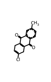 Cc1ccc2c(c1)C(=O)C1=C(CC(Cl)=CC1)C2=O